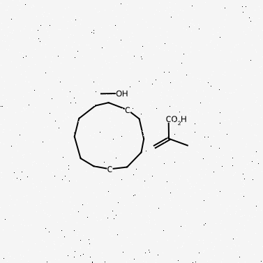 C1CCCCCCCCCCC1.C=C(C)C(=O)O.CO